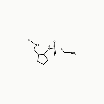 CCNCC1CCCC1NS(=O)(=O)CCN